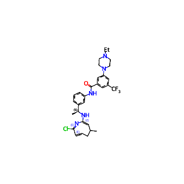 CCN1CCN(c2cc(C(=O)Nc3cccc([C@H](C)NC4=C/C(C)C/C=C/C(Cl)=N\4)c3)cc(C(F)(F)F)c2)CC1